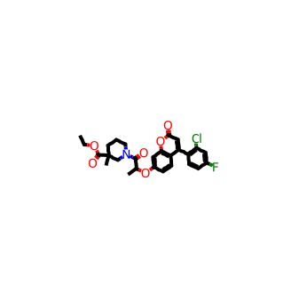 CCOC(=O)C1(C)CCCN(C(=O)C(C)Oc2ccc3c(-c4ccc(F)cc4Cl)cc(=O)oc3c2)C1